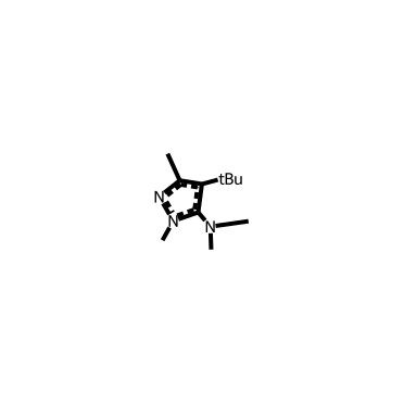 Cc1nn(C)c(N(C)C)c1C(C)(C)C